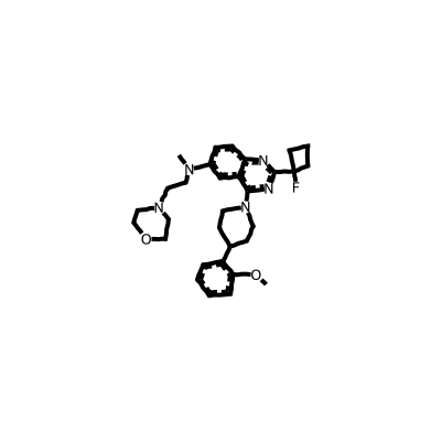 COc1ccccc1C1CCN(c2nc(C3(F)CCC3)nc3ccc(N(C)CCN4CCOCC4)cc23)CC1